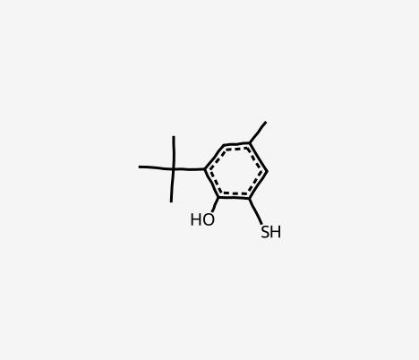 Cc1cc(S)c(O)c(C(C)(C)C)c1